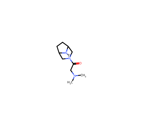 CCN1C2CCC1CN(C(=O)CN(C)C)C2